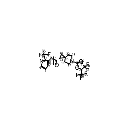 O=C(Nc1cccnc1C(F)(F)F)[C@@H]1CC12CCN(C(=O)OC(C(F)(F)F)C(F)(F)F)CC2